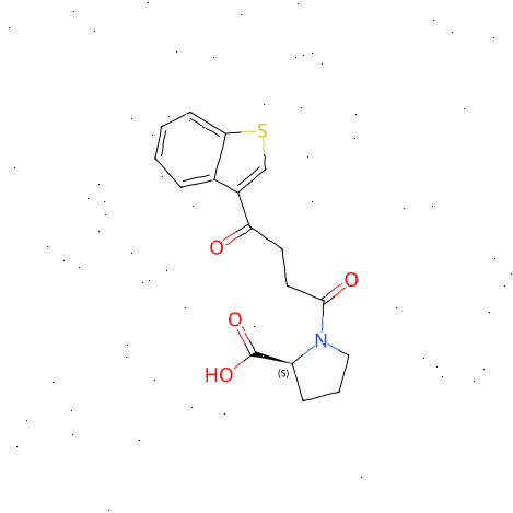 O=C(CCC(=O)N1CCC[C@H]1C(=O)O)c1csc2ccccc12